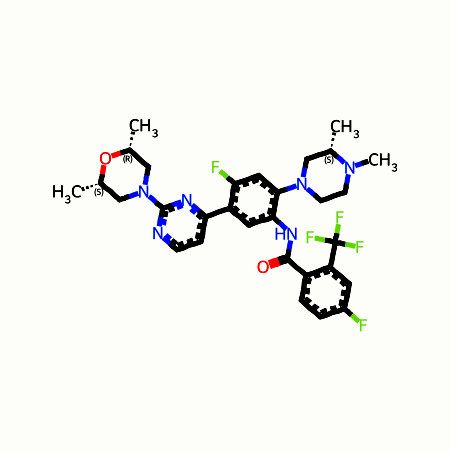 C[C@@H]1CN(c2nccc(-c3cc(NC(=O)c4ccc(F)cc4C(F)(F)F)c(N4CCN(C)[C@@H](C)C4)cc3F)n2)C[C@H](C)O1